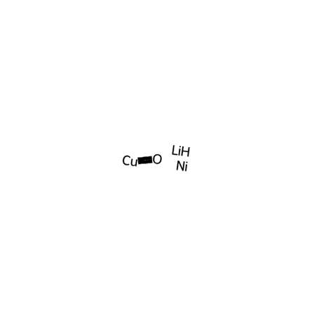 [LiH].[Ni].[O]=[Cu]